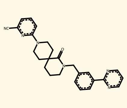 N#Cc1cccc(N2CCC3(CCCN(Cc4cccc(-c5ncccn5)c4)C3=O)CC2)n1